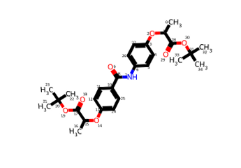 CC(Oc1ccc(NC(=O)c2ccc(OC(C)C(=O)OC(C)(C)C)cc2)cc1)C(=O)OC(C)(C)C